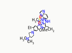 C=Cc1cnc(Nc2cc(CC)c(N3CCC(N(C)C)CC3)cc2OC)nc1Nc1ccc2nccnc2c1NS(C)(=O)=O